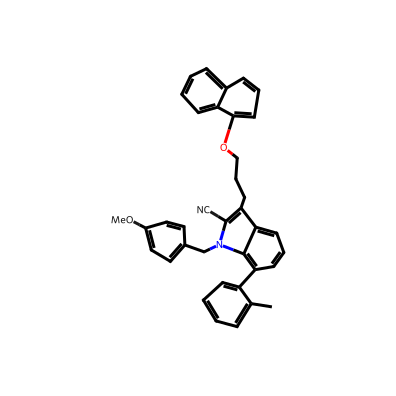 COc1ccc(Cn2c(C#N)c(CCCOc3cccc4ccccc34)c3cccc(-c4ccccc4C)c32)cc1